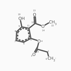 [CH2]CC(=O)Oc1cccc(O)c1C(=O)OC